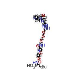 CC(C)(C)CC[C@H](NC(=O)COc1cccc(Oc2ccc(C(=O)NCCOCCOCCOCCNc3ncc(-c4ccc5c(n4)N(Cc4cccnc4C#N)C(C)(C)C5=O)cn3)cn2)c1)C(=O)O